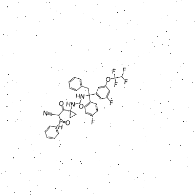 N#CC(C(=O)C1(NC(=O)NC(Cc2ccccc2)(c2ccc(F)cc2)c2cc(F)cc(OC(F)(F)C(F)F)c2)CC1)[PH](=O)c1ccccc1